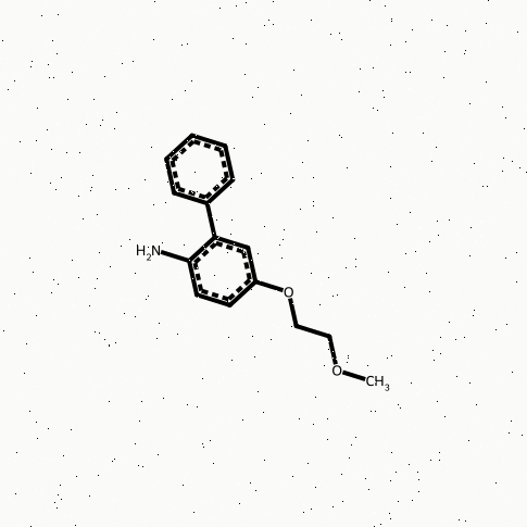 COCCOc1ccc(N)c(-c2ccccc2)c1